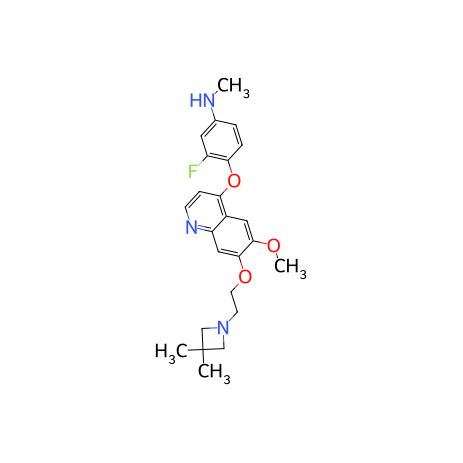 CNc1ccc(Oc2ccnc3cc(OCCN4CC(C)(C)C4)c(OC)cc23)c(F)c1